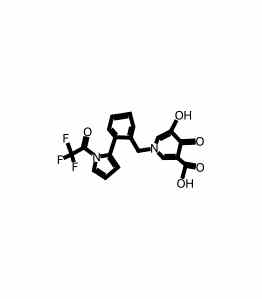 O=C(O)c1cn(Cc2ccccc2-c2cccn2C(=O)C(F)(F)F)cc(O)c1=O